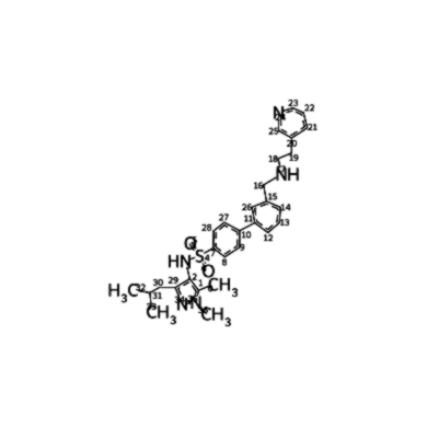 Cc1c(NS(=O)(=O)c2ccc(-c3cccc(CNCCc4cccnc4)c3)cc2)c(CC(C)C)nn1C